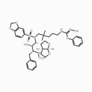 CC(C)(CCCNC(=NC#N)Oc1ccccc1)CN(C([C@H](O)[C@H](Cc1ccccc1)NC(=O)O)[C@@H]1CO[C@H]2OCC[C@H]21)S(=O)(=O)c1ccc2c(c1)OCO2